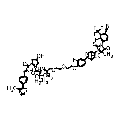 Cc1ncsc1-c1ccc(CNC(=O)[C@@H]2C[C@@H](O)CN2C(=O)[C@@H](NC(=O)COCCOCCOc2ccc(-c3ccc(N4C(=S)N(c5ccc(C#N)c(C(F)(F)F)c5F)C(=O)C4(C)C)cn3)cc2F)C(C)(C)C)cc1